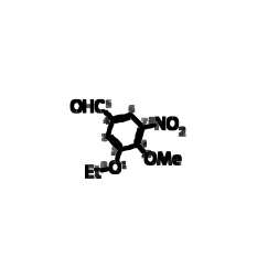 CCOc1cc(C=O)cc([N+](=O)[O-])c1OC